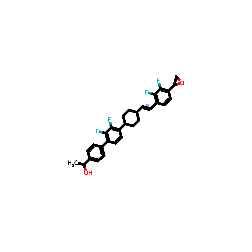 CC(O)c1ccc(-c2ccc(C3CCC(/C=C/c4ccc(C5CO5)c(F)c4F)CC3)c(F)c2F)cc1